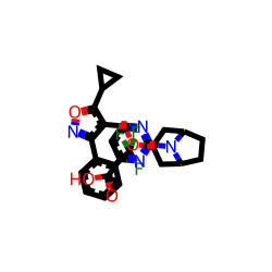 O=C(O)c1ccnc(N2C3CCC2CC(OCc2c(-c4ccccc4C(F)(F)F)noc2C2CC2)C3)n1